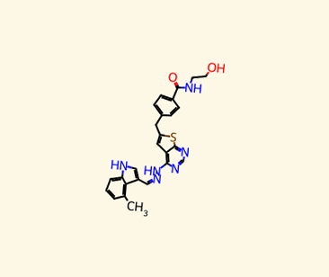 Cc1cccc2[nH]cc(/C=N\Nc3ncnc4sc(Cc5ccc(C(=O)NCCO)cc5)cc34)c12